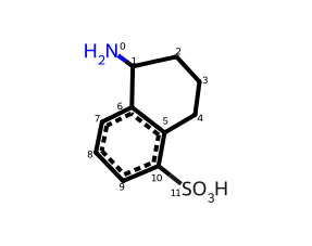 NC1CCCc2c1cccc2S(=O)(=O)O